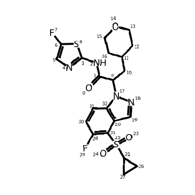 O=C(Nc1ncc(F)s1)C(CC1CCOCC1)n1ncc2c(S(=O)(=O)C3CC3)c(F)ccc21